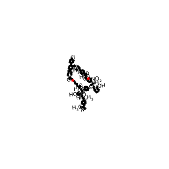 Cc1ncsc1-c1ccc([C@H](C)NC(=O)[C@@H]2C[C@@H](O)CN2C(=O)[C@@H](NC(=O)CCCCCCC(=O)N2CCN(CC3(C)CCC(c4ccc(Cl)cc4)=C(CN4CCN(c5ccc(C(=O)NS(=O)(=O)c6ccc(N[C@H](CCN7CCCCC7CO)CSc7ccccc7)c([N+](=O)[O-])c6)cc5)CC4)C3)CC2)C(C)(C)C)cc1